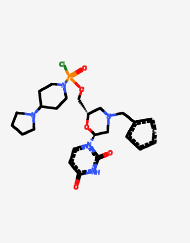 O=c1ccn([C@H]2CN(Cc3ccccc3)C[C@@H](COP(=O)(Cl)N3CCC(N4CCCC4)CC3)O2)c(=O)[nH]1